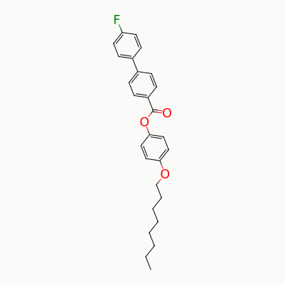 CCCCCCCCOc1ccc(OC(=O)c2ccc(-c3ccc(F)cc3)cc2)cc1